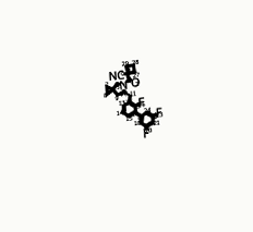 N#CC1(C(=O)N2CC3(CC3)C[C@@H]2Cc2cccc(-c3cc(F)cc(F)c3)c2F)CCC1